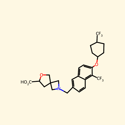 O=C(O)C1CC2(CO1)CN(Cc1ccc3c(C(F)(F)F)c(OC4CCC(C(F)(F)F)CC4)ccc3c1)C2